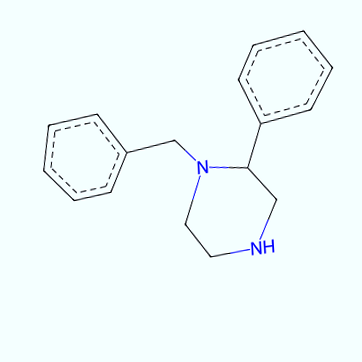 c1ccc(CN2CCNCC2c2ccccc2)cc1